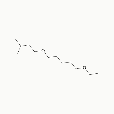 CCOCCCCCOCCC(C)C